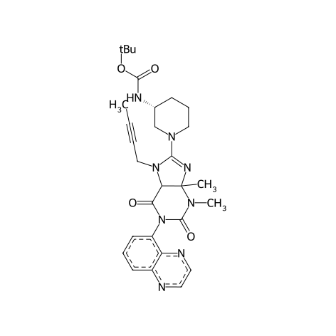 CC#CCN1C(N2CCC[C@@H](NC(=O)OC(C)(C)C)C2)=NC2(C)C1C(=O)N(c1cccc3nccnc13)C(=O)N2C